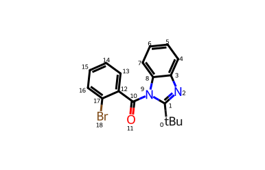 CC(C)(C)c1nc2ccccc2n1C(=O)c1ccccc1Br